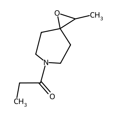 CCC(=O)N1CCC2(CC1)OC2C